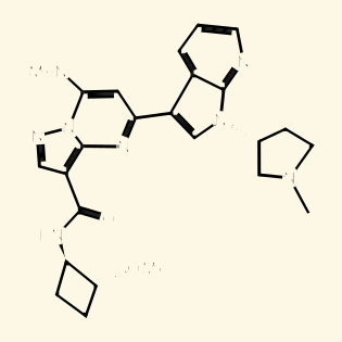 CNc1cc(-c2cn([C@@H]3CCN(C)C3)c3ncccc23)nc2c(C(=O)N[C@@H]3CC[C@H]3OC)cnn12